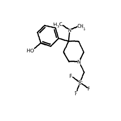 CN(C)C1(c2cccc(O)c2)CCN(C[B-](F)(F)F)CC1